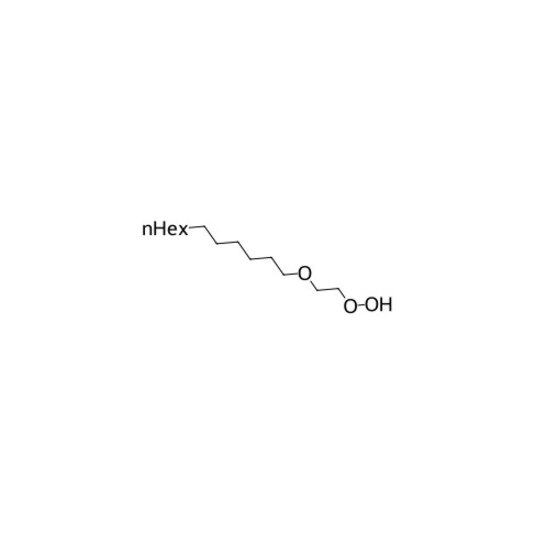 CCCCCCCCCCCCOCCOO